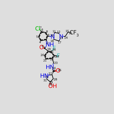 O=C(Nc1ccc(Cl)cc1N1CCN(CCC(F)(F)F)CC1)c1ccc(CNC(=O)[C@H]2C[C@@H](O)CN2)c(F)c1F